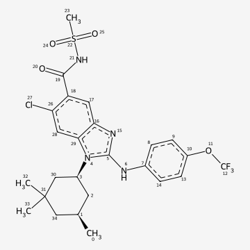 C[C@@H]1C[C@H](n2c(Nc3ccc(OC(F)(F)F)cc3)nc3cc(C(=O)NS(C)(=O)=O)c(Cl)cc32)CC(C)(C)C1